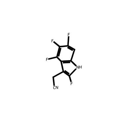 N#CCc1c(F)[nH]c2cc(F)c(F)c(F)c12